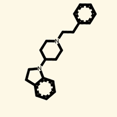 c1ccc(CCN2CCC(N3CCc4ccccc43)CC2)cc1